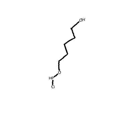 OCCCCCOPCl